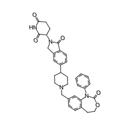 O=C1CCC(N2Cc3cc(C4CCN(Cc5ccc6c(c5)N(c5ccccc5)C(=O)OCC6)CC4)ccc3C2=O)C(=O)N1